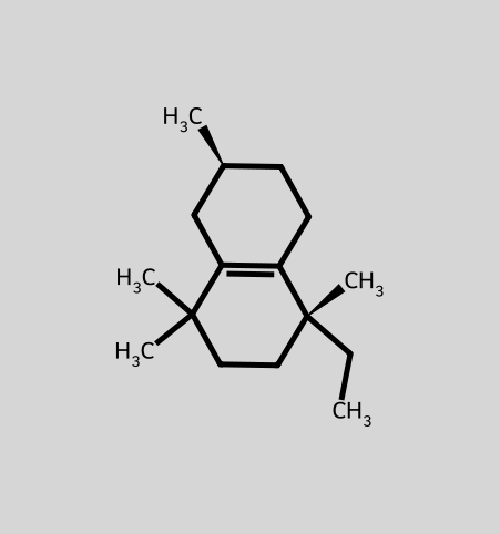 CC[C@]1(C)CCC(C)(C)C2=C1CC[C@H](C)C2